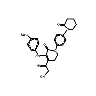 COc1ccc(NC2=C(C(=N)CN=O)CCN(c3ccc(N4CCCCC4=O)cc3)C2=O)cc1